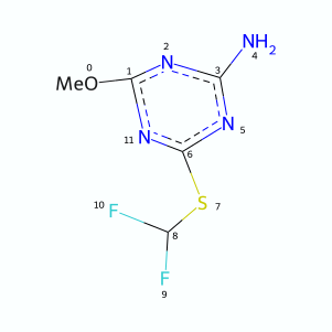 COc1nc(N)nc(SC(F)F)n1